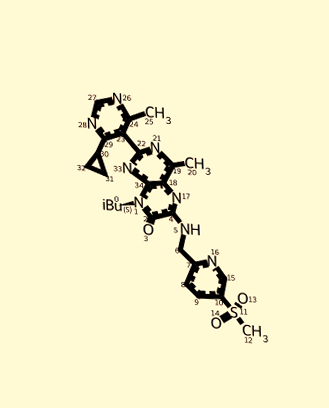 CC[C@H](C)n1c(=O)c(NCc2ccc(S(C)(=O)=O)cn2)nc2c(C)nc(-c3c(C)ncnc3C3CC3)nc21